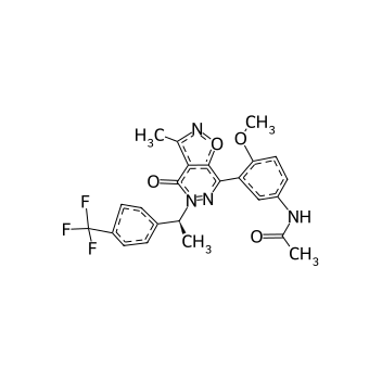 COc1ccc(NC(C)=O)cc1-c1nn([C@@H](C)c2ccc(C(F)(F)F)cc2)c(=O)c2c(C)noc12